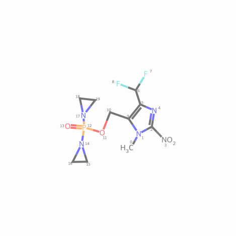 Cn1c([N+](=O)[O-])nc(C(F)F)c1COP(=O)(N1CC1)N1CC1